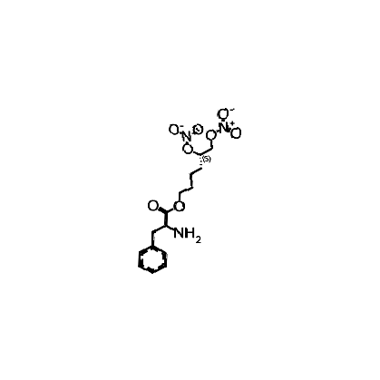 NC(Cc1ccccc1)C(=O)OCCCC[C@@H](CO[N+](=O)[O-])O[N+](=O)[O-]